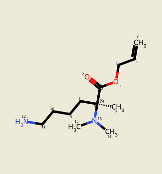 C=CCOC(=O)[C@](C)(CCCCN)N(C)C